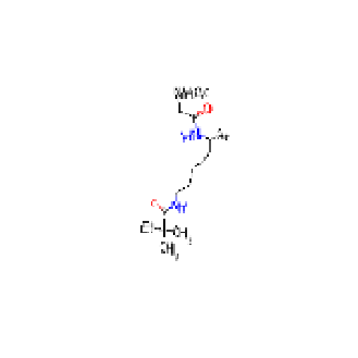 CCC(C)(C)C(=O)NCCCCC(NC(=O)CNC(C)=O)C(C)=O